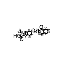 CC(C)NC(Cc1ccc(OCCn2ncc3ccccc3c2=O)cc1)C(=O)O